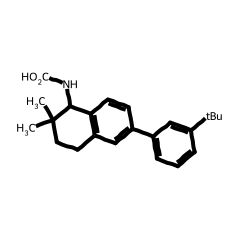 CC(C)(C)c1cccc(-c2ccc3c(c2)CCC(C)(C)C3NC(=O)O)c1